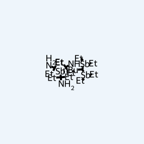 CCCC[CH]([Sb]([CH2]C)[CH2]C)[Sb]([CH2]C)[CH2]C.CC[C](N)(CC)[Sb]([C](N)(CC)CC)[C](N)(CC)CC